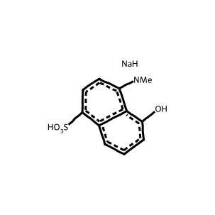 CNc1ccc(S(=O)(=O)O)c2cccc(O)c12.[NaH]